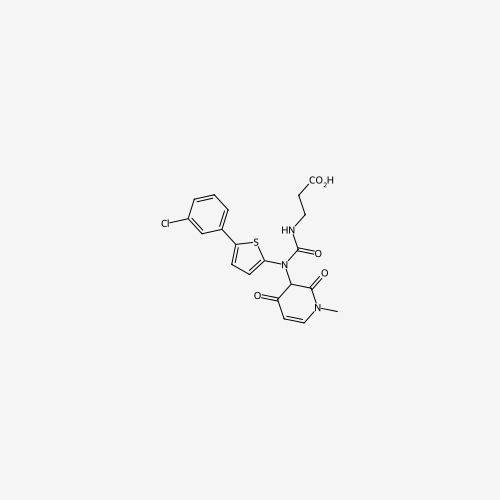 CN1C=CC(=O)C(N(C(=O)NCCC(=O)O)c2ccc(-c3cccc(Cl)c3)s2)C1=O